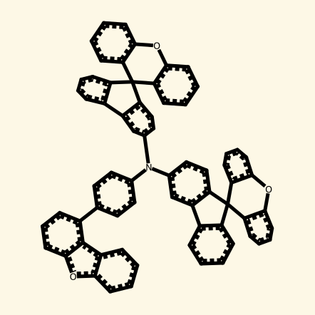 c1ccc2c(c1)Oc1ccccc1C21c2ccccc2-c2cc(N(c3ccc(-c4cccc5oc6ccccc6c45)cc3)c3ccc4c(c3)-c3ccccc3C43c4ccccc4Oc4ccccc43)ccc21